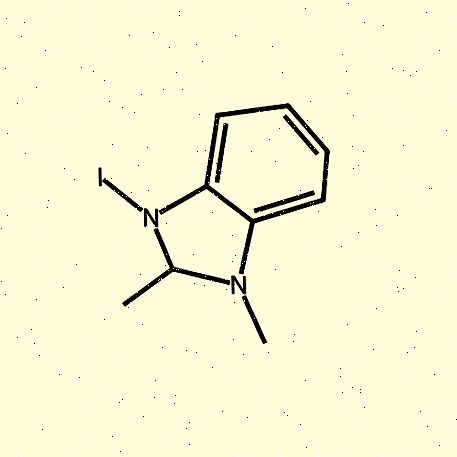 CC1N(C)c2ccccc2N1I